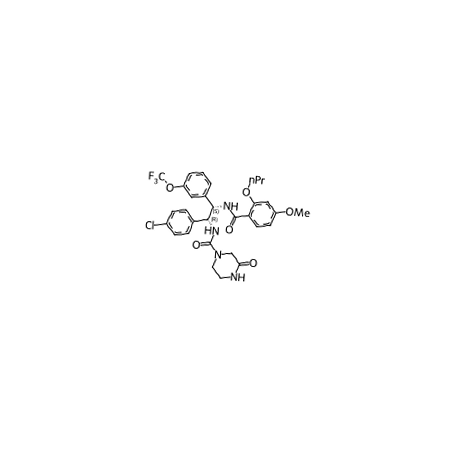 CCCOc1cc(OC)ccc1C(=O)N[C@@H](c1cccc(OC(F)(F)F)c1)[C@H](NC(=O)N1CCNC(=O)C1)c1ccc(Cl)cc1